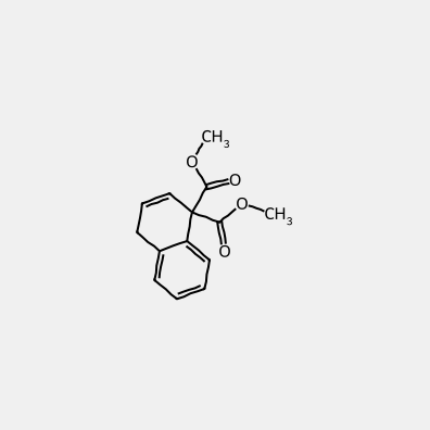 COC(=O)C1(C(=O)OC)C=CCc2ccccc21